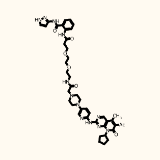 CC(=O)c1c(C)c2cnc(Nc3ccc(N4CCN(CC(=O)NCCOCCOCCC(=O)Nc5ccccc5C(=O)Nc5cc[nH]n5)CC4)cn3)nc2n(C2CCCC2)c1=O